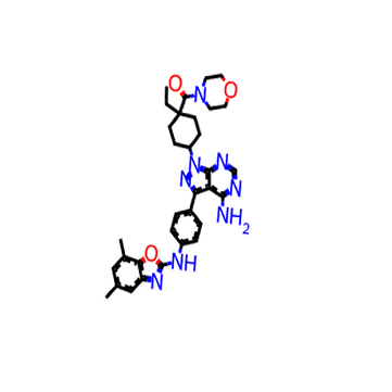 CCC1(C(=O)N2CCOCC2)CCC(n2nc(-c3ccc(Nc4nc5cc(C)cc(C)c5o4)cc3)c3c(N)ncnc32)CC1